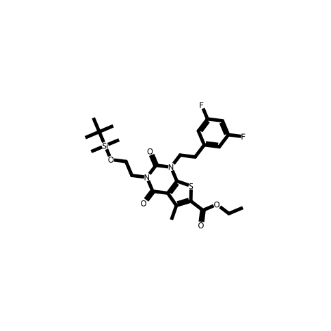 CCOC(=O)c1sc2c(c1C)c(=O)n(CCO[Si](C)(C)C(C)(C)C)c(=O)n2CCc1cc(F)cc(F)c1